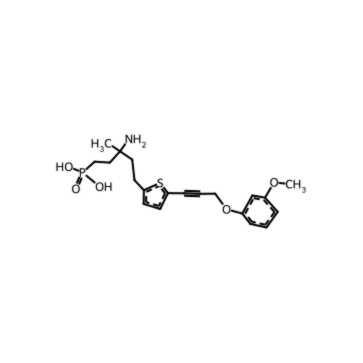 COc1cccc(OCC#Cc2ccc(CCC(C)(N)CCP(=O)(O)O)s2)c1